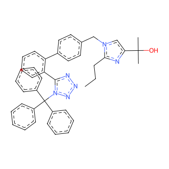 CCCc1nc(C(C)(C)O)cn1Cc1ccc(-c2ccccc2-c2nnnn2C(c2ccccc2)(c2ccccc2)c2ccccc2)cc1